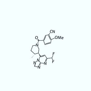 COc1ccc(C(=O)N2CC[C@@H](C)[C@H](c3cc(C(F)F)nc4ncnn34)C2)cc1C#N